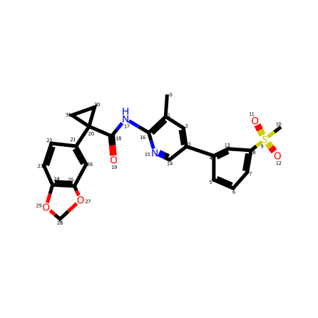 Cc1cc(-c2cccc(S(C)(=O)=O)c2)cnc1NC(=O)C1(c2ccc3c(c2)OCO3)CC1